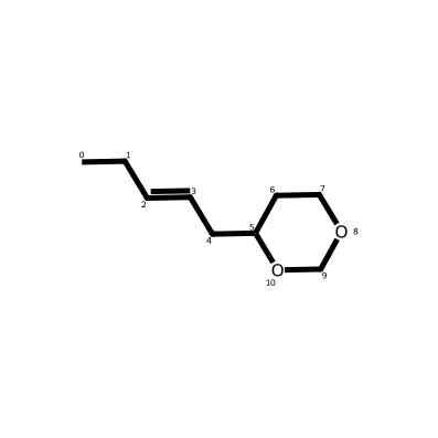 CCC=CCC1CCOCO1